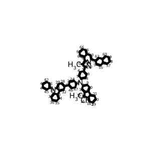 Cc1c(-c2ccc(N(c3ccc4c(c3)C(C)(C)c3ccccc3-4)[C@H]3C=CC(c4ccc5c(c4)c4ccccc4n5-c4ccccc4)=CC3)cc2)nn2c(-c3ccc4ccccc4c3)cc3ccccc3c12